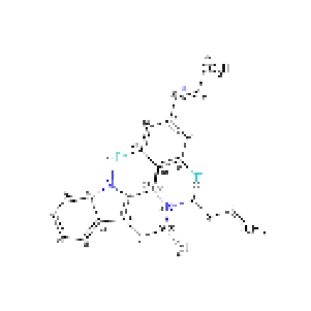 C=CCCN1[C@H](CC)Cc2c([nH]c3ccccc23)[C@H]1c1c(F)cc(/C=C/C(=O)O)cc1F